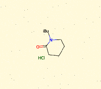 CCC(C)N1CCCCC1=O.Cl